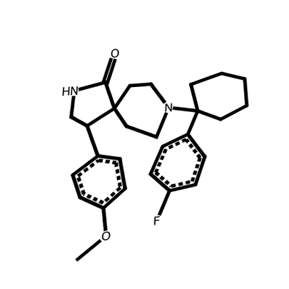 COc1ccc(C2CNC(=O)C23CCN(C2(c4ccc(F)cc4)CCCCC2)CC3)cc1